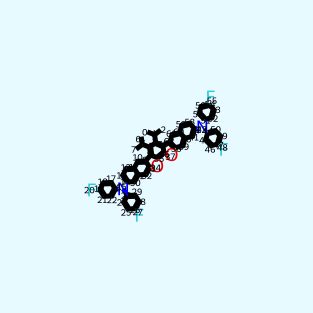 CC(C)c1c(C(C)C)c2c3cc4ccc(N(c5ccc(F)cc5)c5ccc(F)cc5)cc4cc3oc2c2oc3cc4cc(N(c5ccc(F)cc5)c5ccc(F)cc5)ccc4cc3c12